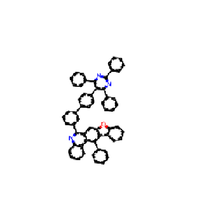 c1ccc(-c2nc(-c3ccccc3)c(-c3ccc(-c4cccc(-c5nc6ccccc6c6c(-c7ccccc7)c7c(cc56)oc5ccccc57)c4)cc3)c(-c3ccccc3)n2)cc1